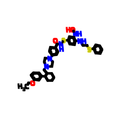 CCOc1cccc(C2CCCCC2CN2CCN(c3ccc(C(=O)NSc4ccc(NCCSc5ccccc5)c(NO)c4)cc3)CC2)c1